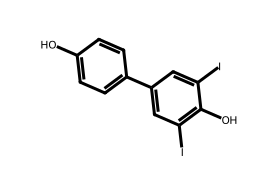 Oc1ccc(-c2cc(I)c(O)c(I)c2)cc1